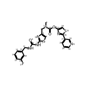 CN(Cc1csc(NC(=O)NCc2cccc(F)c2)n1)C(=O)Oc1csc(-c2cccnc2)n1